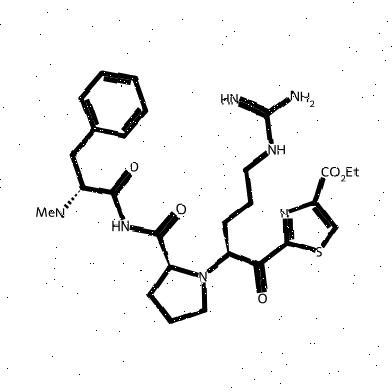 CCOC(=O)c1csc(C(=O)[C@H](CCCNC(=N)N)N2CCC[C@H]2C(=O)NC(=O)[C@@H](Cc2ccccc2)NC)n1